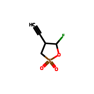 C#CC1CS(=O)(=O)OC1F